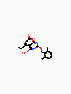 CCc1cc(=O)oc2nc(O[C@@H](C)c3c(C)cccc3C)nc(O)c12